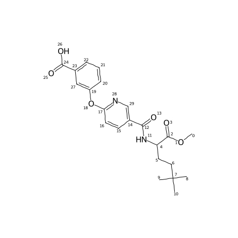 COC(=O)C(CCC(C)(C)C)NC(=O)c1ccc(Oc2cccc(C(=O)O)c2)nc1